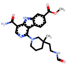 COC(=O)c1ccc2c(c1)[nH]c1c(C(N)=O)cnc(N3CCCC(C)(CCNC=O)C3)c12